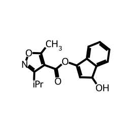 Cc1onc(C(C)C)c1C(=O)OC1=CC(O)c2ccccc21